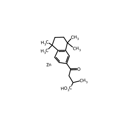 CC(CC(=O)c1ccc2c(c1)C(C)(C)CCC2(C)C)C(=O)O.[Zn]